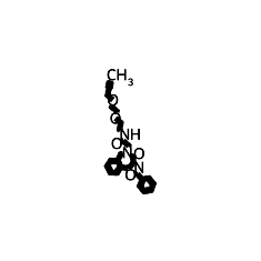 CC#CCOCCOCCNC(=O)CN1Cc2ccccc2C2OC(c3ccccc3)=NC2C1=O